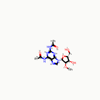 CCCO[C@@H]1[C@H](O)[C@@H](CO)O[C@H]1n1cnc2c(NC(=O)C(C)C)nc(NC(=O)C(C)C)nc21